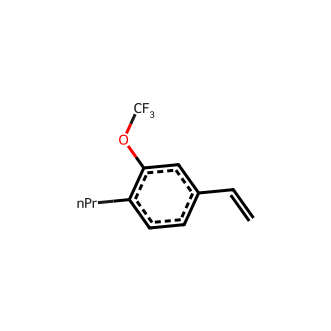 C=Cc1ccc(CCC)c(OC(F)(F)F)c1